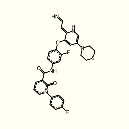 N=C/C=C1\NC=C(N2CCSCC2)C=C1Oc1ccc(NC(=O)c2cccn(-c3ccc(F)cc3)c2=O)cc1F